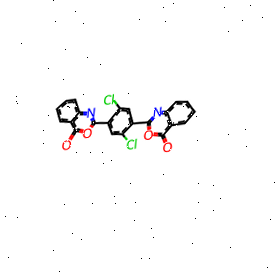 O=c1oc(-c2cc(Cl)c(-c3nc4ccccc4c(=O)o3)cc2Cl)nc2ccccc12